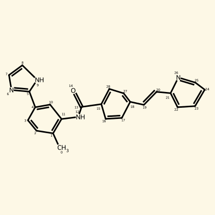 Cc1ccc(-c2ncc[nH]2)cc1NC(=O)c1ccc(/C=C/c2ccccn2)cc1